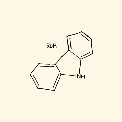 [RbH].c1ccc2c(c1)[nH]c1ccccc12